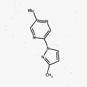 Cc1ccn(-c2cnc(C(C)(C)C)cn2)n1